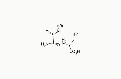 CC(C)C[C@H](N)C(=O)O.CCCCNC(=O)C(N)=O